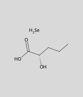 CCC[C@H](O)C(=O)O.[SeH2]